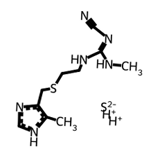 CN/C(=N/C#N)NCCSCc1nc[nH]c1C.[H+].[H+].[S-2]